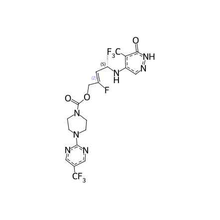 C[C@@H](/C=C(\F)COC(=O)N1CCN(c2ncc(C(F)(F)F)cn2)CC1)Nc1cn[nH]c(=O)c1C(F)(F)F